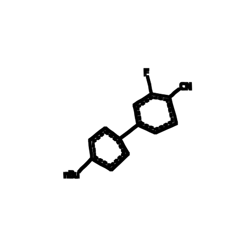 CCCCc1ccc(-c2ccc(C#N)c(F)c2)cc1